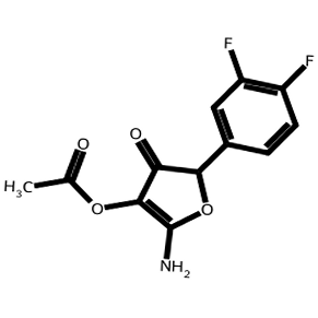 CC(=O)OC1=C(N)OC(c2ccc(F)c(F)c2)C1=O